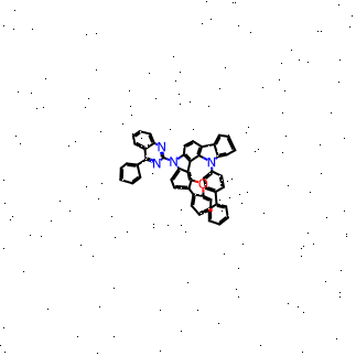 c1ccc(-c2ccc(-n3c4ccccc4c4ccc5c(c6c7oc8ccccc8c7ccc6n5-c5nc(-c6ccccc6)c6ccccc6n5)c43)cc2)cc1